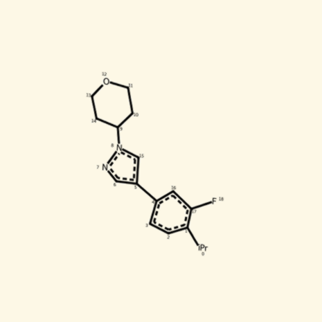 CC(C)c1ccc(-c2cnn(C3CCOCC3)c2)cc1F